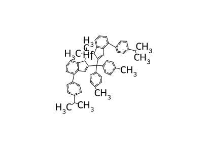 Cc1ccc(C2(c3ccc(C)cc3)C3=Cc4c(-c5ccc(C(C)C)cc5)cccc4[CH]3[Hf]([CH3])([CH3])[CH]3C2=Cc2c(-c4ccc(C(C)C)cc4)cccc23)cc1